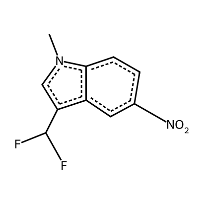 Cn1cc(C(F)F)c2cc([N+](=O)[O-])ccc21